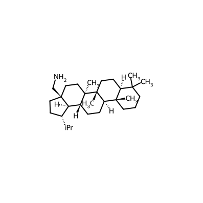 CC(C)[C@@H]1CC[C@]2(CN)CC[C@]3(C)[C@H](CC[C@@H]4[C@@]5(C)CCCC(C)(C)[C@@H]5CC[C@]43C)[C@@H]12